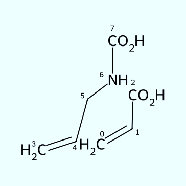 C=CC(=O)O.C=CCNC(=O)O